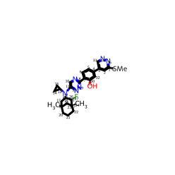 CSc1cc(-c2ccc(-c3ncc(N(C4CC4)[C@@H]4C[C@@]5(C)CCC[C@](C)(C5)[C@@H]4F)nn3)c(O)c2)cnn1